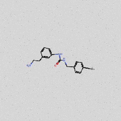 CC(C)(C)c1ccc(CNC(=O)Nc2cccc(CCN)c2)cc1